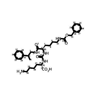 CC(CNC(=O)[C@@H](CCCCNC(=O)OCc1ccccc1)NC(=O)N[C@@H](CCCCN)C(=O)O)c1ccccc1